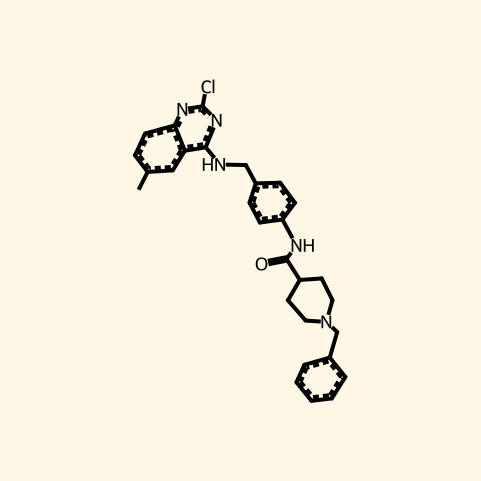 Cc1ccc2nc(Cl)nc(NCc3ccc(NC(=O)C4CCN(Cc5ccccc5)CC4)cc3)c2c1